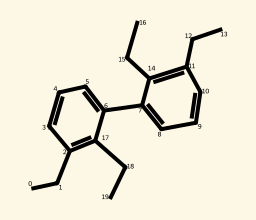 CCc1[c]ccc(-c2cc[c]c(CC)c2CC)c1CC